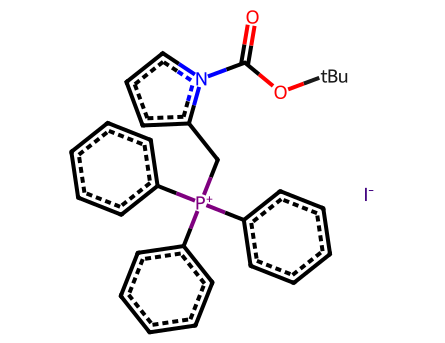 CC(C)(C)OC(=O)n1cccc1C[P+](c1ccccc1)(c1ccccc1)c1ccccc1.[I-]